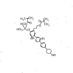 C=C(C)C(=O)OCCCc1cc(-c2ccc(-c3ccc(C4CCC(CCC)CC4)cc3)c(CC)c2)c(CCC)cc1OCC(CO)(CO)COC(=O)C(=C)C